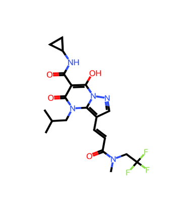 CC(C)Cn1c(=O)c(C(=O)NC2CC2)c(O)n2ncc(C=CC(=O)N(C)CC(F)(F)F)c12